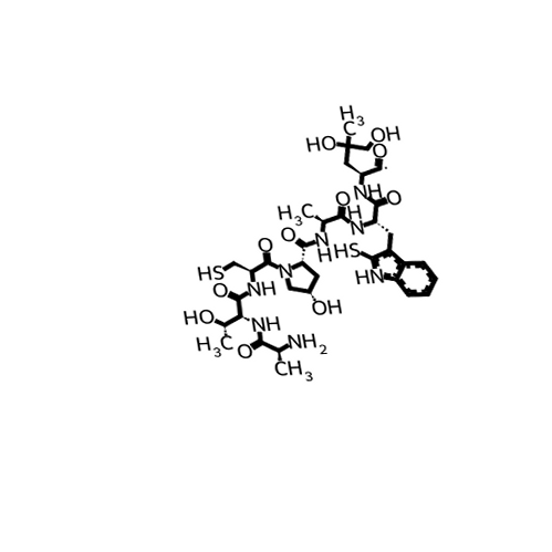 C[C@H](N)C(=O)N[C@@H](C(=O)N[C@@H](CS)C(=O)N1C[C@@H](O)C[C@H]1C(=O)N[C@@H](C)C(=O)N[C@@H](Cc1c(S)[nH]c2ccccc12)C(=O)N[C@H]([C]=O)CC(C)(O)CO)[C@H](C)O